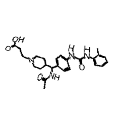 CC(=O)NC(c1ccc(NC(=O)Nc2ccccc2C)cc1)C1CCN(CCC(=O)O)CC1